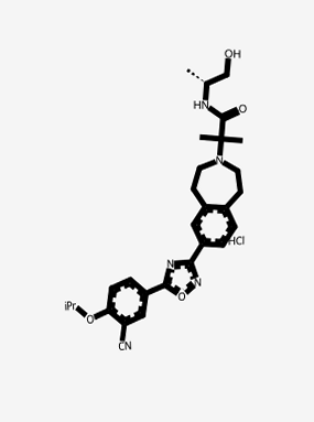 CC(C)Oc1ccc(-c2nc(-c3ccc4c(c3)CCN(C(C)(C)C(=O)N[C@H](C)CO)CC4)no2)cc1C#N.Cl